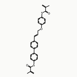 C=C(C)C(=O)Sc1ccc(OC/C=C/c2ccc(-c3ccc(SC(=O)C(=C)C)cc3)cc2)cc1